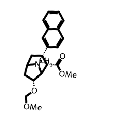 COCO[C@@H]1CC2C[C@H](c3ccc4ccccc4c3)[C@H](C(=O)OC)C1N2C